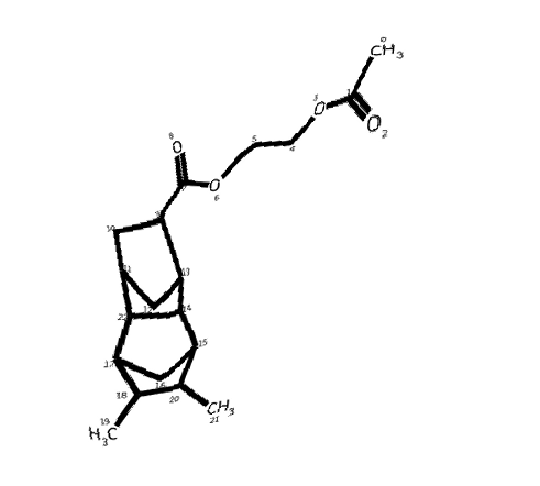 CC(=O)OCCOC(=O)C1CC2CC1C1C3CC(C(C)C3C)C21